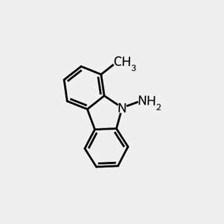 Cc1cccc2c3ccccc3n(N)c12